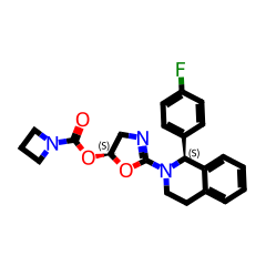 O=C(O[C@H]1CN=C(N2CCc3ccccc3[C@@H]2c2ccc(F)cc2)O1)N1CCC1